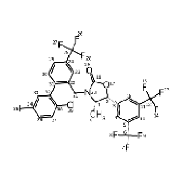 C[C@H]1[C@@H](c2cc(C(F)(F)F)cc(C(F)(F)F)c2)OC(=O)N1Cc1cc(C(F)(F)F)ccc1-c1cc(I)ccc1Cl